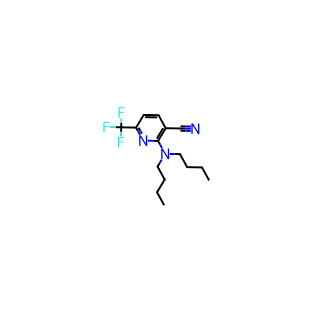 CCCCN(CCCC)c1nc(C(F)(F)F)ccc1C#N